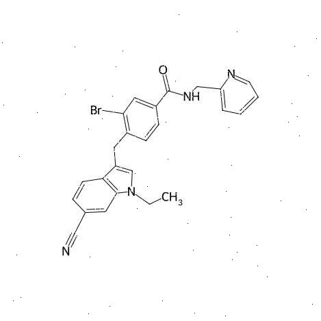 CCn1cc(Cc2ccc(C(=O)NCc3ccccn3)cc2Br)c2ccc(C#N)cc21